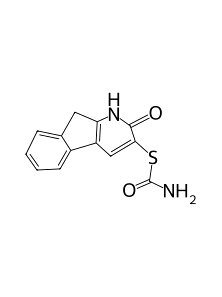 NC(=O)Sc1cc2c([nH]c1=O)Cc1ccccc1-2